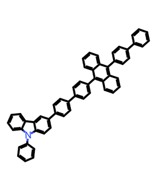 c1ccc(-c2ccc(-c3c4ccccc4c(-c4ccc(-c5ccc(-c6ccc7c(c6)c6ccccc6n7-c6ccccc6)cc5)cc4)c4ccccc34)cc2)cc1